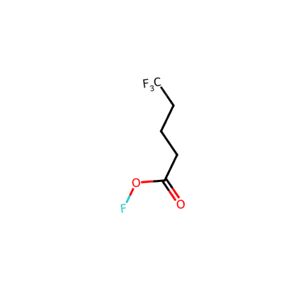 O=C(CCCC(F)(F)F)OF